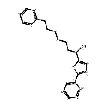 OC(CCCCCCc1ccccc1)c1cnc(-c2ccccn2)o1